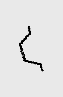 CCCC/C=C\CCCCCCCC/C=C\CCOCOCOCC/C=C\CCCCCCCC/C=C\CCCC